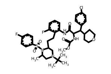 COC(=O)NC(C(=O)Nc1cccc(F)c1CCC1CN(C(C)(C)C)CC(C)N1S(=O)(=O)c1ccc(F)cc1)C(c1ccc(Cl)cc1)C1CCOCC1